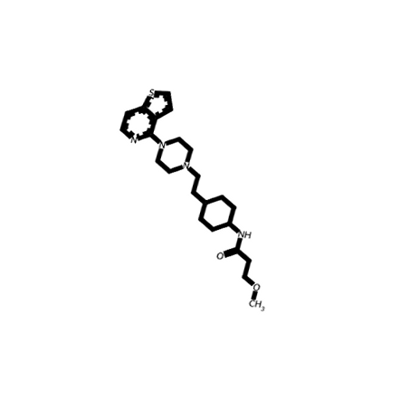 COCCC(=O)NC1CCC(CCN2CCN(c3nccc4sccc34)CC2)CC1